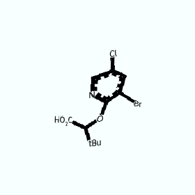 CC(C)(C)C(Oc1ncc(Cl)cc1Br)C(=O)O